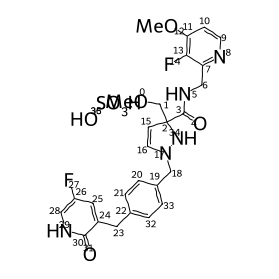 COCC1(C(=O)NCc2nccc(OC)c2F)C=CN(Cc2ccc(Cc3cc(F)c[nH]c3=O)cc2)N1.O=S(=O)(O)O